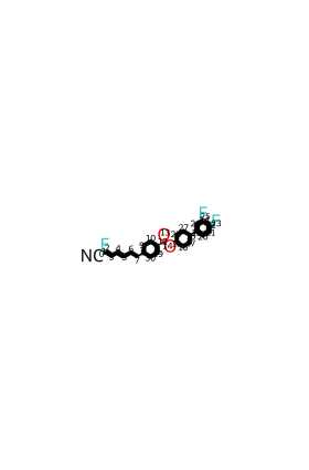 N#CC(F)=CC=CCC[C@H]1CC[C@H](C(=O)O[C@H]2CC[C@H](c3ccc(F)c(F)c3)CC2)CC1